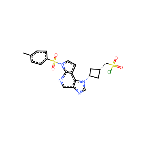 Cc1ccc(S(=O)(=O)n2ccc3c2ncc2ncn([C@H]4C[C@@H](CS(=O)(=O)Cl)C4)c23)cc1